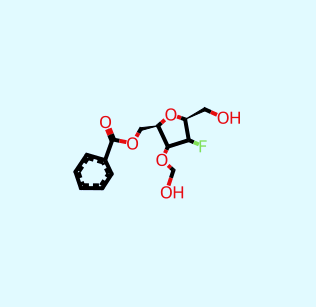 O=C(OC[C@H]1O[C@@H](CO)C(F)C1OCO)c1ccccc1